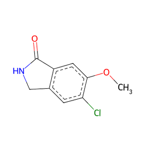 COc1cc2c(cc1Cl)CNC2=O